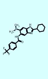 CN(C)c1cc2[nH]c(C3CCCCC3)nc2cc1NC(=O)c1ccc(C(F)(F)F)cc1